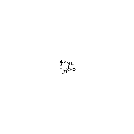 CCOCC.NC=O